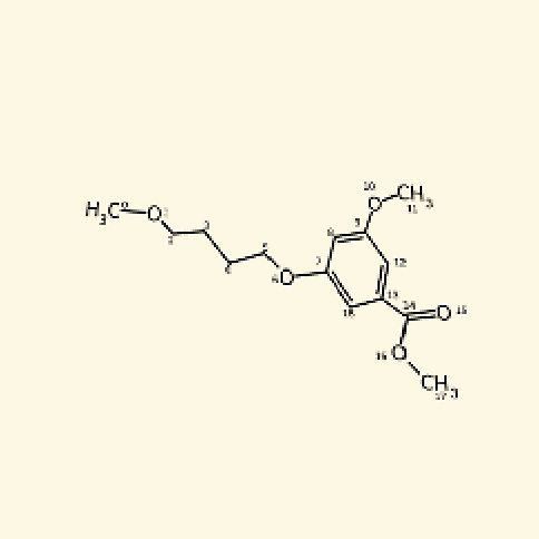 COCCCCOc1cc(OC)cc(C(=O)OC)c1